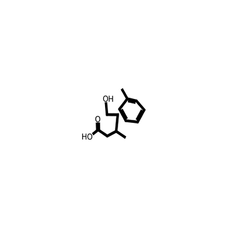 CC(CCO)CC(=O)O.Cc1ccccc1